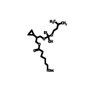 CCCCCCCCCCCCCCCC(=O)OCC(COC(O)(CC)OCCN(C)C)C1CC1